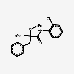 CCCCCC(NCCCC)(Oc1ccccc1)C(=O)Nc1ccccc1Cl